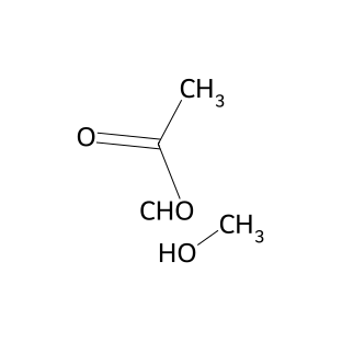 CC(=O)C=O.CO